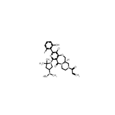 C=CC(=O)N1CCN2C(=O)c3c(N4CC(N(C)CCCC)CC4(C)C)nc(-c4c(O)cccc4F)c(Cl)c3OC[C@H]2C1